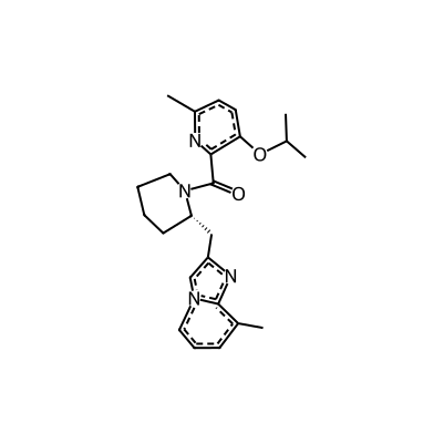 Cc1ccc(OC(C)C)c(C(=O)N2CCCC[C@H]2Cc2cn3cccc(C)c3n2)n1